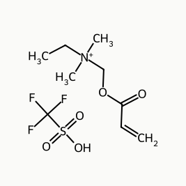 C=CC(=O)OC[N+](C)(C)CC.O=S(=O)(O)C(F)(F)F